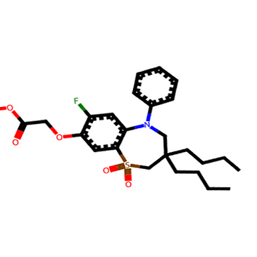 CCCCC1(CCCC)CN(c2ccccc2)c2cc(F)c(OCC(=O)OC)cc2S(=O)(=O)C1